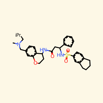 CC(C)CN(C)Cc1ccc2c(c1)OCCC2NC(=O)CC(NS(=O)(=O)c1ccc2c(c1)CCCC2)c1ccccc1